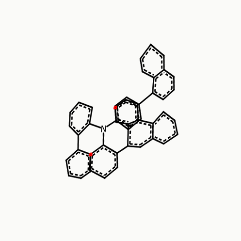 c1ccc(-c2ccccc2N(c2ccc(-c3cccc4ccccc34)cc2)c2ccccc2-c2cc3ccccc3c3ccccc23)cc1